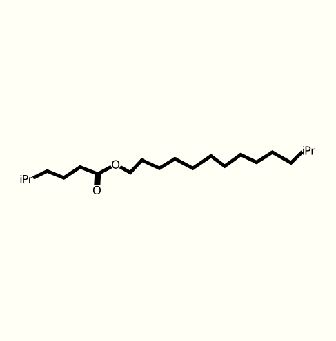 CC(C)CCCCCCCCCCCOC(=O)CCCC(C)C